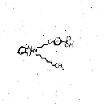 CCCCCCCCN(CCCCOc1ccc(C(=O)O)cc1)c1nc2ccccc2o1